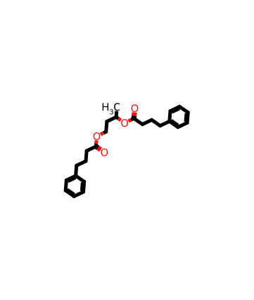 CC(CCOC(=O)CCCc1ccccc1)OC(=O)CCCc1ccccc1